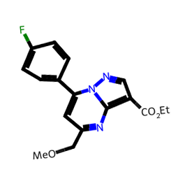 CCOC(=O)c1cnn2c(-c3ccc(F)cc3)cc(COC)nc12